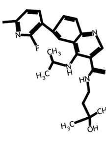 CC(C)Nc1c(C(=O)NCCC(C)(C)O)cnc2ccc(-c3ccc(F)nc3F)cc12